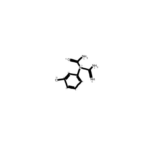 N=C(N)N(C(N)=O)c1cccc(Cl)c1